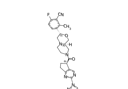 Cc1c([C@H]2CN3CCN(C(=O)[C@@H]4CCc5nc(-n6cnnn6)ncc54)C[C@@H]3CO2)ccc(F)c1C#N